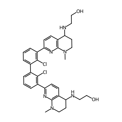 CN1CCC(NCCO)c2ccc(-c3cccc(-c4cccc(-c5ccc6c(n5)N(C)CCC6NCCO)c4Cl)c3Cl)nc21